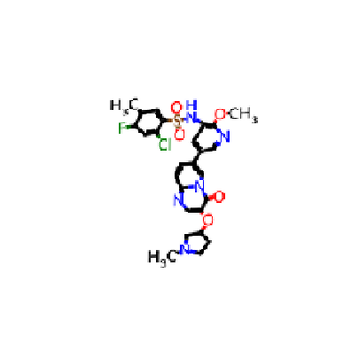 COc1ncc(-c2ccc3ncc(OC4CCN(C)C4)c(=O)n3c2)cc1NS(=O)(=O)C1=CC(C)C(F)C=C1Cl